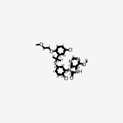 COCCOc1ccc(Cl)cc1C(C)(C)Sc1ccc(Cl)c(-n2c(=O)[nH]c3c(OC)ncnc32)c1